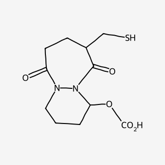 O=C(O)OC1CCCN2C(=O)CCC(CS)C(=O)N12